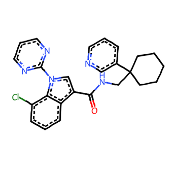 O=C(NCC1(c2cccnc2)CCCCC1)c1cn(-c2ncccn2)c2c(Cl)cccc12